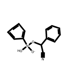 N#CC(O[N+]([O-])(O)c1ccccc1)c1ccccc1